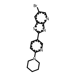 Brc1cnc2nc(-c3ccc(N4CCCCC4)nc3)sc2c1